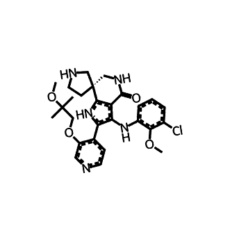 COc1c(Cl)cccc1Nc1c(-c2ccncc2OCC(C)(C)OC)[nH]c2c1C(=O)NC[C@@]21CCNC1